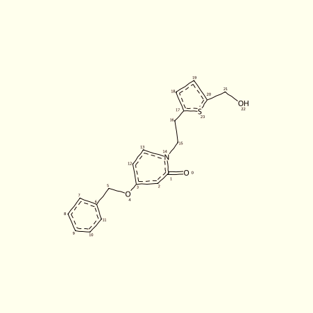 O=c1cc(OCc2ccccc2)ccn1CCc1ccc(CO)s1